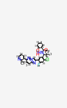 CC(C)(C(NC(=O)c1ccccc1O)c1cc(-c2cn3nc(-c4cccnc4C(F)(F)F)ccc3n2)c(F)cc1Cl)C(F)(F)F